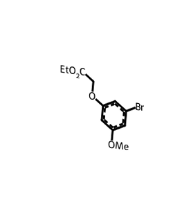 CCOC(=O)COc1cc(Br)cc(OC)c1